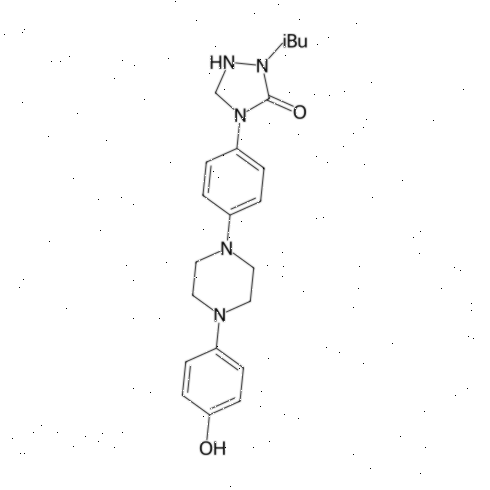 CCC(C)N1NCN(c2ccc(N3CCN(c4ccc(O)cc4)CC3)cc2)C1=O